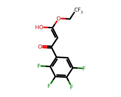 O=C(/C=C(\O)OCC(F)(F)F)c1cc(F)c(F)c(F)c1F